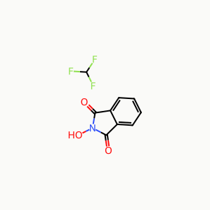 FC(F)F.O=C1c2ccccc2C(=O)N1O